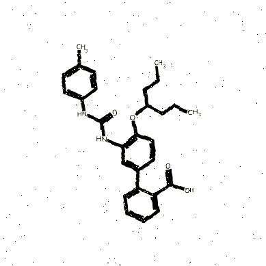 CCCC(CCC)Oc1ccc(-c2ccccc2C(=O)O)cc1NC(=O)Nc1ccc(C)cc1